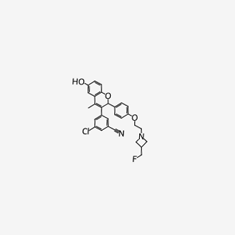 CC1=C(c2cc(Cl)cc(C#N)c2)C(c2ccc(OCCN3CC(CF)C3)cc2)Oc2ccc(O)cc21